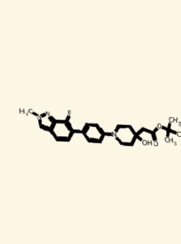 Cn1cc2ccc(-c3ccc(N4CCC(O)(CC(=O)OC(C)(C)C)CC4)cc3)c(F)c2n1